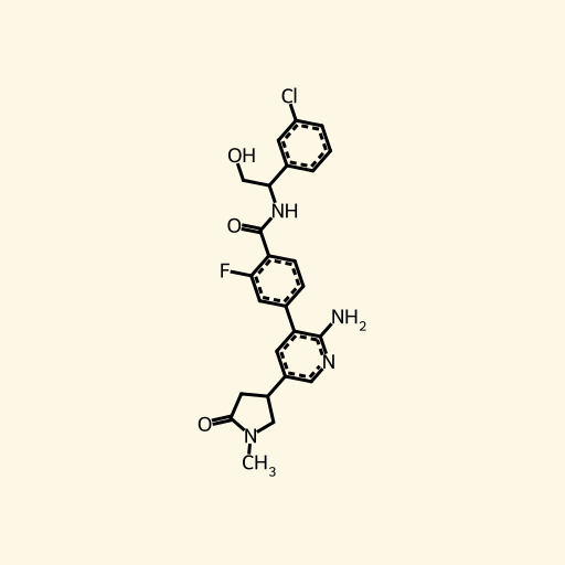 CN1CC(c2cnc(N)c(-c3ccc(C(=O)NC(CO)c4cccc(Cl)c4)c(F)c3)c2)CC1=O